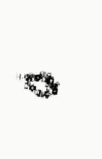 CC1(C)CN(C(=O)c2ccc(N3CCN(CC4CCN(c5cccc6c5C(=O)N(C5CCC(=O)NC5=O)C6=O)CC4)CC3)cc2)C[C@@H]1Oc1ccc(C#N)c(Cl)c1